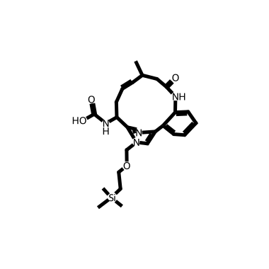 CC1/C=C/CC(NC(=O)O)c2nc(cn2COCC[Si](C)(C)C)-c2ccccc2NC(=O)C1